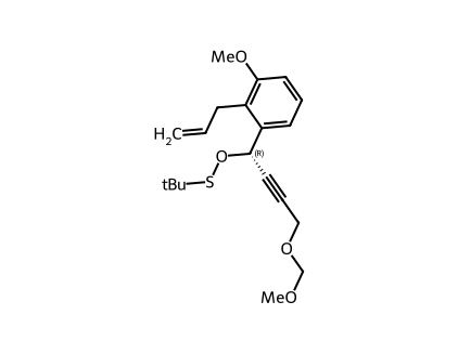 C=CCc1c(OC)cccc1[C@H](C#CCOCOC)OSC(C)(C)C